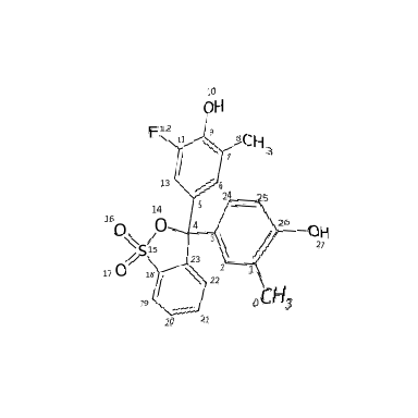 Cc1cc(C2(c3cc(C)c(O)c(F)c3)OS(=O)(=O)c3ccccc32)ccc1O